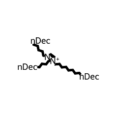 CCCCCCCCCCCCCCCCCC[n+]1ccn(CCCCCCCCCCCCCCC)c1CCCCCCCCCCCCC